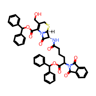 O=C(CCCC(C(=O)OC(c1ccccc1)c1ccccc1)N1C(=O)c2ccccc2C1=O)N[C@@H]1C(=O)N2C(C(=O)OC(c3ccccc3)c3ccccc3)=C(CO)CS[C@@H]12